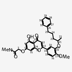 CNC(=O)COc1cc(O)c2c(=O)cc(-c3ccc(OC)c(OC(C)CCCc4ccccc4)c3)oc2c1